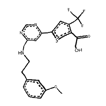 COc1cccc(CCNc2cc(-c3cc(C(F)(F)F)c(C(=O)O)s3)ncn2)c1